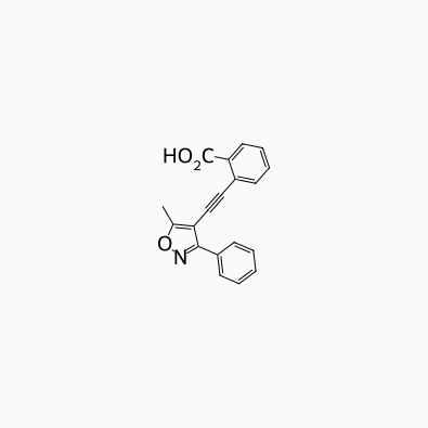 Cc1onc(-c2ccccc2)c1C#Cc1ccccc1C(=O)O